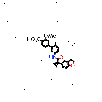 COc1cc(-c2cc(NC(=O)C3(c4ccc5c(c4)CCO5)CC3)ccc2C)ccc1C(=O)O